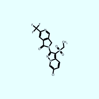 CCS(=O)(=O)c1c(N2Cc3cnc(C(F)(F)F)cc3C2=O)nn2cc(Cl)ccc12